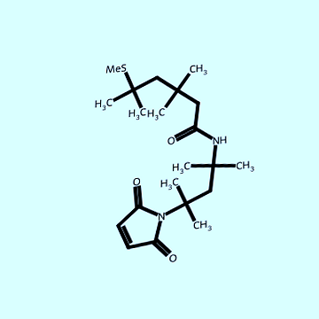 CSC(C)(C)CC(C)(C)CC(=O)NC(C)(C)CC(C)(C)N1C(=O)C=CC1=O